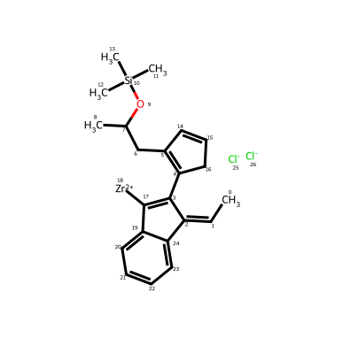 CC=C1C(C2=C(CC(C)O[Si](C)(C)C)C=CC2)=[C]([Zr+2])c2ccccc21.[Cl-].[Cl-]